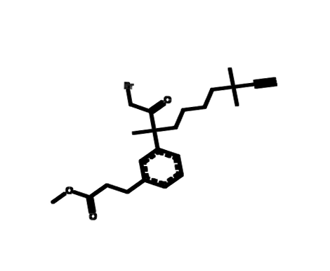 C#CC(C)(C)CCCCC(C)(C(=O)CBr)c1cccc(CCC(=O)OC)c1